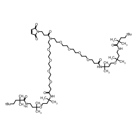 CC(C)(C)CCC(C)(C)C(=O)NCCC(C)(C)OCCC(C)(C)NC(=O)CCOCCOCCOCCOCCN(CCOCCOCCOCCOCCC(=O)NC(C)(C)CCOC(C)(C)CCNC(=O)C(C)(C)CCC(C)(C)C)C(=O)CCN1C(=O)C=CC1=O